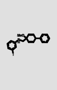 COC1(CNc2cccc(I)c2)C=CC(c2ccccc2)C=C1